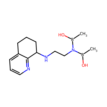 CB(O)N(CCNC1CCCc2cccnc21)B(C)O